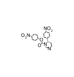 O=C(Oc1ccc([N+](=O)[O-])cc1)N1C=NC=CC1c1ccc([N+](=O)[O-])cc1